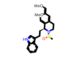 C\C=C1/C(=C\C(=C\OC)OC)CCN([S+](C)[O-])[C@H]1CCc1c[nH]c2ccccc12